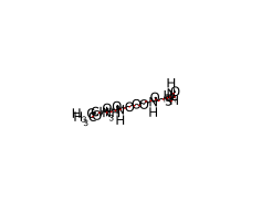 CC(C)(C)OCCCNC(=O)CCCC(=O)NCCCOCCOCCOCCCNC(=O)CCCC[C@@H]1SC[C@@H]2CC(=O)N[C@@H]21